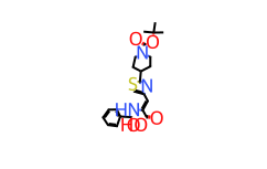 CC(C)(C)OC(=O)N1CCC(c2nc(/C=C(\NC(=O)c3ccccc3)C(=O)O)cs2)CC1